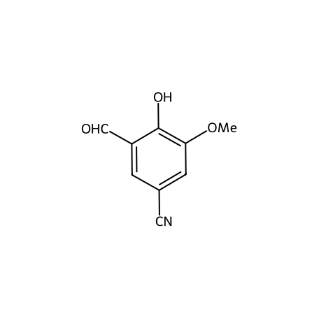 COc1cc(C#N)cc(C=O)c1O